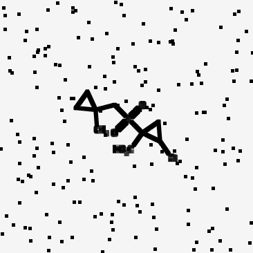 CCC1CC1(C(=O)O)S(=O)(=O)CC1(C)CC1